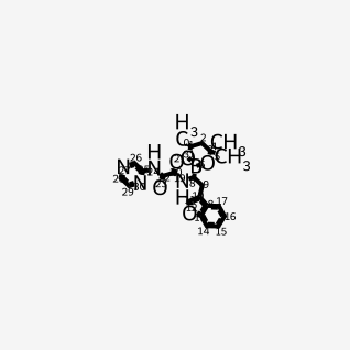 CC1CC(C)(C)OB(C(Cc2coc3ccccc23)NC(=O)C(=O)Nc2cnccn2)O1